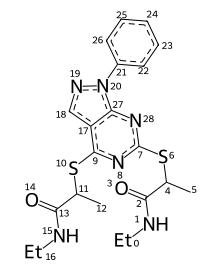 CCNC(=O)C(C)Sc1nc(SC(C)C(=O)NCC)c2cnn(-c3ccccc3)c2n1